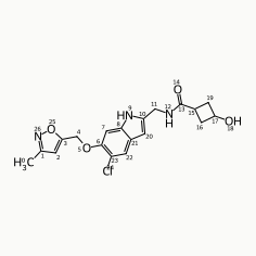 Cc1cc(COc2cc3[nH]c(CNC(=O)C4CC(O)C4)cc3cc2Cl)on1